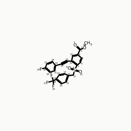 COC(=O)c1ccc(S(=O)(=O)Cc2ccc(C(F)(F)F)cc2)c(C#Cc2ccc(F)cc2)c1